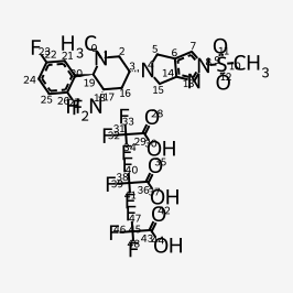 CN1C[C@H](N2Cc3cn(S(C)(=O)=O)nc3C2)C[C@H](N)[C@H]1c1cc(F)ccc1F.O=C(O)C(F)(F)F.O=C(O)C(F)(F)F.O=C(O)C(F)(F)F